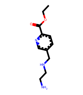 CCOC(=O)c1ccc(CNCCN)cn1